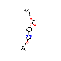 CCCCOc1cnc(-c2ccc(OC(=O)C(C)OCCCC)cc2)nc1